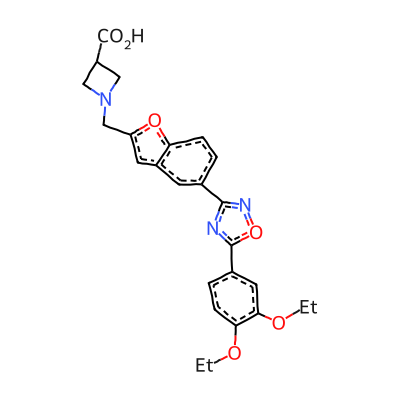 CCOc1ccc(-c2nc(-c3ccc4oc(CN5CC(C(=O)O)C5)cc4c3)no2)cc1OCC